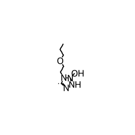 CCCOCCN1[C]=NNN1O